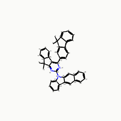 CC1(C)c2ccccc2-c2ccc(-c3nc(-n4c5ccccc5c5cc6ccccc6cc54)nc4c3-c3ccccc3C4(C)C)cc21